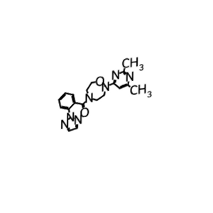 Cc1cc(N2CCN(C(=O)c3ccccc3-n3nccn3)CCO2)nc(C)n1